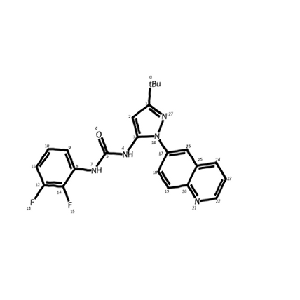 CC(C)(C)c1cc(NC(=O)Nc2cccc(F)c2F)n(-c2ccc3ncccc3c2)n1